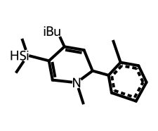 CCC(C)C1=CC(c2ccccc2C)N(C)C=C1[SiH](C)C